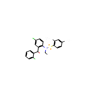 CCOC(=O)CN(c1ccc(Cl)cc1C(O)c1ccccc1Cl)S(=O)(=O)c1ccc(OC)cc1OC